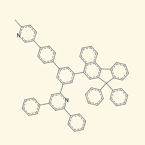 Cc1ccc(-c2ccc(-c3cc(-c4cc(-c5ccccc5)cc(-c5ccccc5)n4)cc(-c4cc5c(c6ccccc46)-c4ccccc4C5(c4ccccc4)c4ccccc4)c3)cc2)cn1